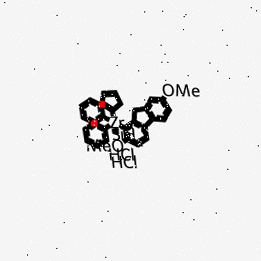 COc1ccc2c(c1)Cc1c-2ccc(OC)[c]1[Zr](=[SiH2])([C]1=CC=CC1)([c]1ccccc1)[c]1ccccc1.Cl.Cl